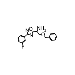 NC(COCc1ccccc1)c1nc(-c2cccc(F)c2)no1